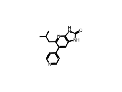 CC(C)Cc1nc2[nH]c(=O)[nH]c2cc1-c1ccncc1